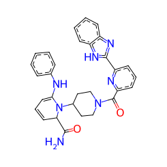 NC(=O)C1C=CC=C(Nc2ccccc2)N1C1CCN(C(=O)c2cccc(-c3nc4ccccc4[nH]3)n2)CC1